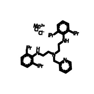 CC(C)c1cccc(C(C)C)c1NCCN(CCNc1c(C(C)C)cccc1C(C)C)Cc1ccccn1.[Cl-].[Cl-].[Mn+2]